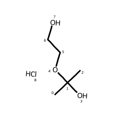 CC(C)(O)OCCO.Cl